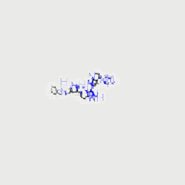 CN1CCN(c2ccnc3[nH]c(-c4n[nH]c5ccc(-c6cncc(CNCC7CCCC7)c6)nc45)cc23)CC1